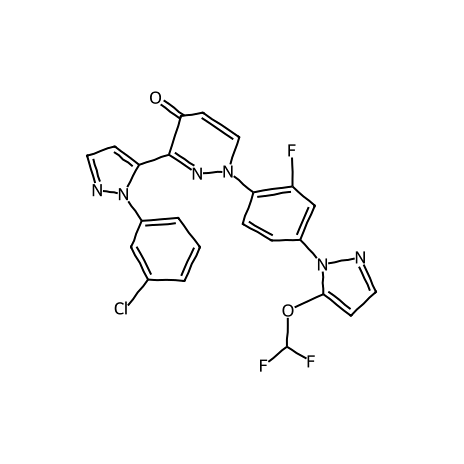 O=c1ccn(-c2ccc(-n3nccc3OC(F)F)cc2F)nc1-c1ccnn1-c1cccc(Cl)c1